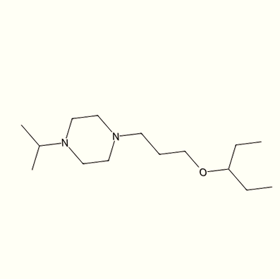 CCC(CC)OCCCN1CCN(C(C)C)CC1